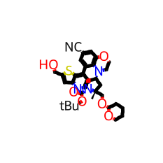 CC(C)(C)OC(=O)N1C[C@@H](N2CCOc3cc(C#N)cc(-c4ccnc5cc(CO)sc45)c32)C[C@]1(C)COC1CCCCO1